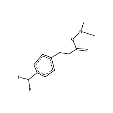 C=C(CCc1ccc(C(F)F)cc1)ON(C)C